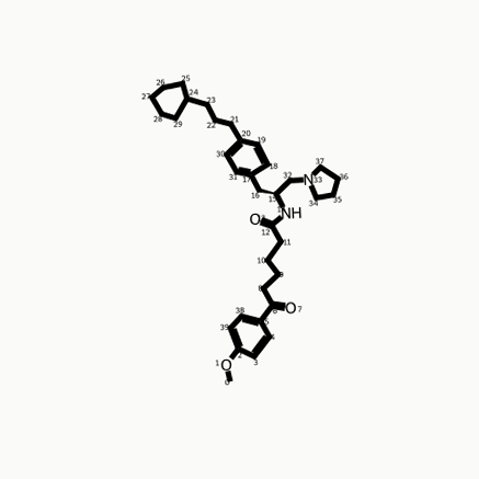 COc1ccc(C(=O)CCCCC(=O)N[C@@H](Cc2ccc(CCCC3CCCCC3)cc2)CN2CCCC2)cc1